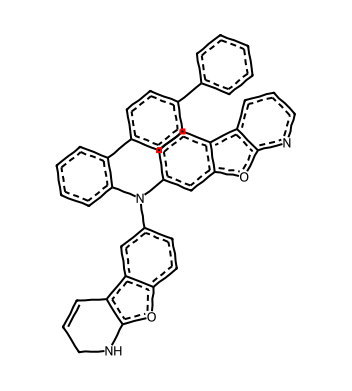 C1=Cc2c(oc3ccc(N(c4ccc5c(c4)oc4ncccc45)c4ccccc4-c4ccc(-c5ccccc5)cc4)cc23)NC1